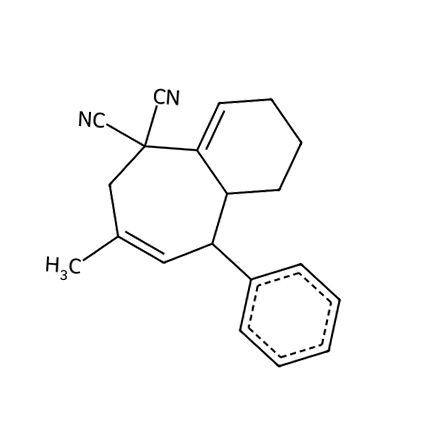 CC1=CC(c2ccccc2)C2CCCC=C2C(C#N)(C#N)C1